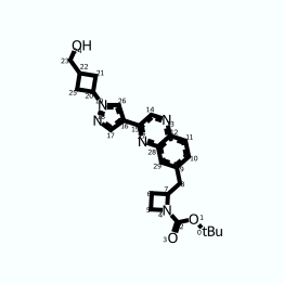 CC(C)(C)OC(=O)N1CCC1Cc1ccc2ncc(-c3cnn(C4CC(CO)C4)c3)nc2c1